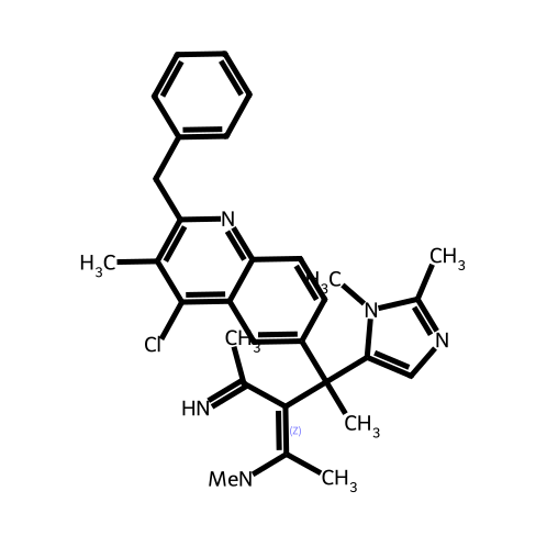 CN/C(C)=C(\C(C)=N)C(C)(c1ccc2nc(Cc3ccccc3)c(C)c(Cl)c2c1)c1cnc(C)n1C